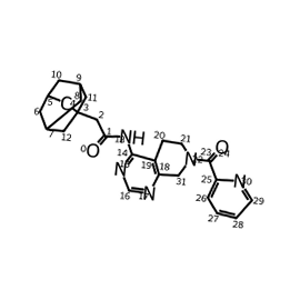 O=C(CC12CC3CC(CC(C3)C1)C2)Nc1ncnc2c1CCN(C(=O)c1ccccn1)C2